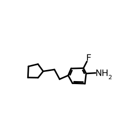 Nc1ccc(CCC2CCCC2)cc1F